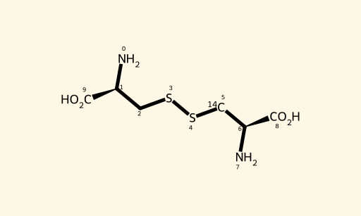 N[C@@H](CSS[14CH2][C@H](N)C(=O)O)C(=O)O